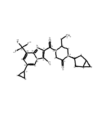 CCC1CN(C2CC3CC3C2)C(=O)CN1C(=O)c1nc2c(C(F)(F)F)cc(C3CC3)cn2c1Cl